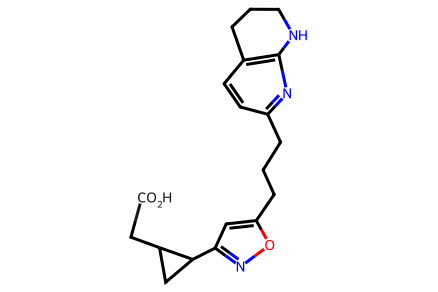 O=C(O)CC1CC1c1cc(CCCc2ccc3c(n2)NCCC3)on1